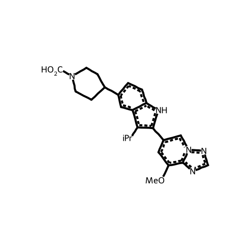 COc1cc(-c2[nH]c3ccc(C4CCN(C(=O)O)CC4)cc3c2C(C)C)cn2ncnc12